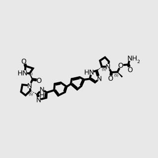 C[C@H](OC(N)=O)C(=O)N1CCC[C@H]1c1ncc(-c2ccc(-c3ccc(-c4cnc([C@@H]5CCCN5C(=O)[C@@H]5CC(=O)N5)[nH]4)cc3)cc2)[nH]1